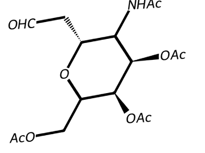 CC(=O)NC1[C@@H](OC(C)=O)[C@@H](OC(C)=O)C(COC(C)=O)O[C@@H]1CC=O